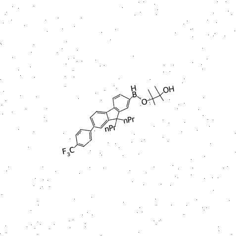 CCCC1(CCC)c2cc(BOC(C)(C)C(C)(C)O)ccc2-c2ccc(-c3ccc(C(F)(F)F)cc3)cc21